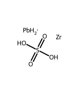 O=S(=O)(O)O.[PbH2].[Zr]